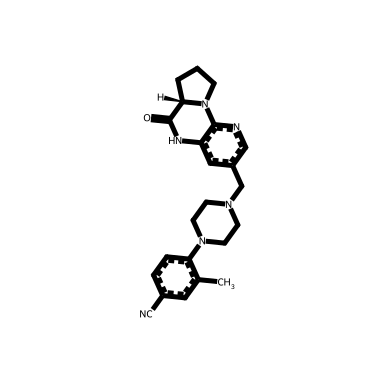 Cc1cc(C#N)ccc1N1CCN(Cc2cnc3c(c2)NC(=O)[C@@H]2CCCN32)CC1